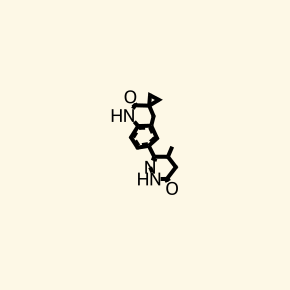 CC1CC(=O)NN=C1c1ccc2c(c1)CC1(CC1)C(=O)N2